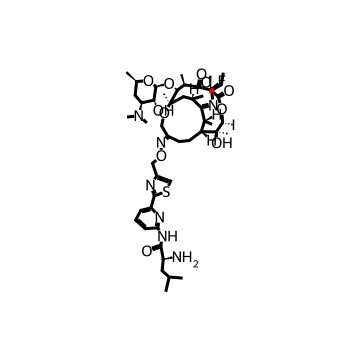 CCC(=O)/N=C1\[C@H](C)C[C@@]2(C)OC/C(=N/OCc3csc(-c4cccc(NC(=O)[C@@H](N)CC(C)C)n4)n3)CC[C@H]([C@H]1C)[C@](C)(O)[C@@H](I)OC(=O)[C@@](C)(F)C(=O)[C@H](C)[C@H]2O[C@@H]1O[C@H](C)C[C@H](N(C)C)[C@H]1O